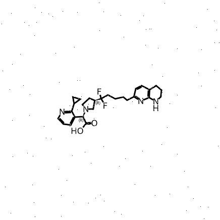 O=C(O)[C@@H](c1cccnc1C1CC1)N1CC[C@@H](C(F)(F)CCCCc2ccc3c(n2)NCCC3)C1